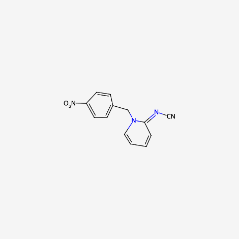 N#CN=c1ccccn1Cc1ccc([N+](=O)[O-])cc1